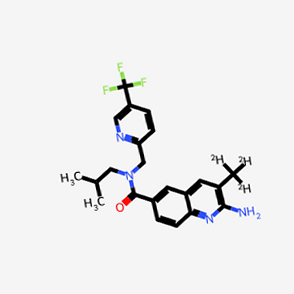 [2H]C([2H])([2H])c1cc2cc(C(=O)N(Cc3ccc(C(F)(F)F)cn3)CC(C)C)ccc2nc1N